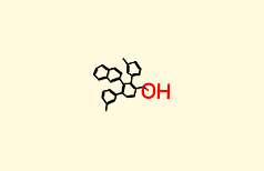 Cc1cccc(-c2ccc(CO)c(-c3cccc(C)c3)c2-c2ccc3ccccc3c2)c1